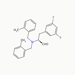 Cc1ccccc1CN(Cc1ccccc1C)[C@H](C=O)Cc1cc(F)cc(F)c1